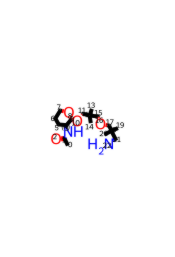 CC(=O)N[C@@H]1CCCOC1OCC(C)(C)COCC(C)(C)CN